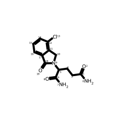 NC(=O)CCC(C(N)=O)N1Cc2c(Cl)cccc2C1=O